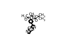 CC(=O)N1c2ccc(-c3cnn(Cc4ccnn4C)c3)cc2N(C(=O)OC(C)C)C[C@@H]1C